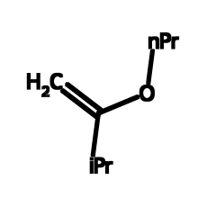 C=C(OCCC)C(C)C